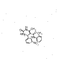 CC1=C(C(=O)Nc2ccccc2C)C(c2cccc([N+](=O)[O-])c2)NC(=O)N1